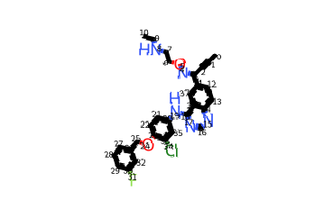 CC#CC(=NOCCNCC)c1ccc2ncnc(Nc3ccc(OCc4cccc(F)c4)c(Cl)c3)c2c1